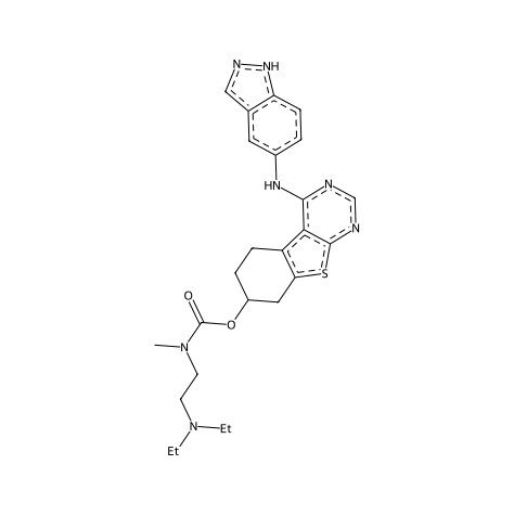 CCN(CC)CCN(C)C(=O)OC1CCc2c(sc3ncnc(Nc4ccc5[nH]ncc5c4)c23)C1